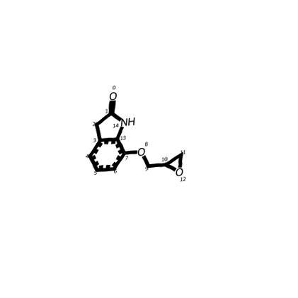 O=C1Cc2cccc(OCC3CO3)c2N1